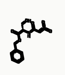 O=C(C=S(=O)=O)N[C@@H](CO)C(=O)OCc1ccccc1